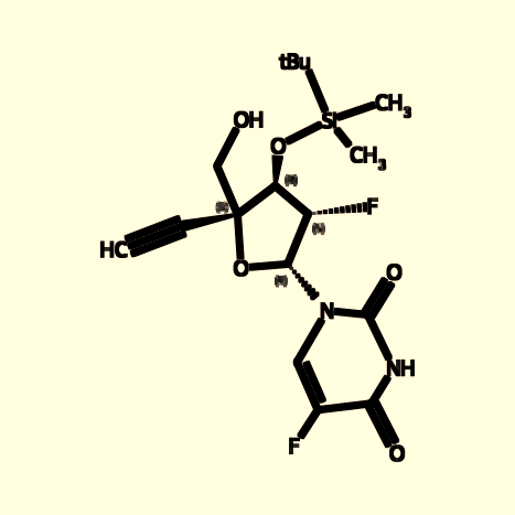 C#C[C@]1(CO)O[C@@H](n2cc(F)c(=O)[nH]c2=O)[C@@H](F)[C@@H]1O[Si](C)(C)C(C)(C)C